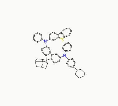 c1ccc(N(c2ccc(C3CCCCC3)cc2)c2ccc(C3(c4ccc(N(c5ccccc5)c5ccc6c(c5)sc5ccccc56)cc4)C4CC5CC(C4)CC3C5)cc2)cc1